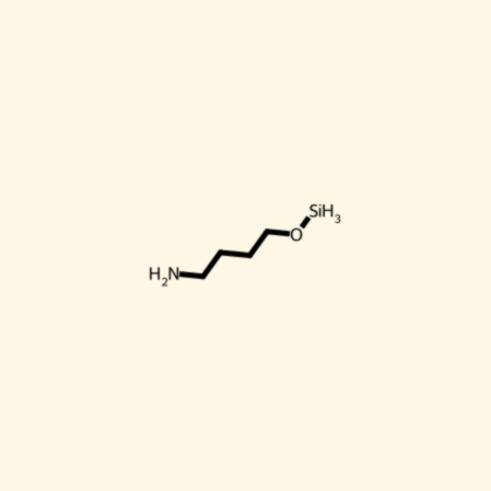 NCCCCO[SiH3]